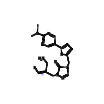 CN(C)c1ncc(-c2ccc(Cn3cnn(C/C(=C/F)CN)c3=O)s2)cn1